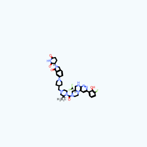 CC1(C)CN(CC2CCN(c3ccc4c(c3)C(=O)N([C@@H]3CCC(=O)NC3=O)C4)CC2)CCN1C(=O)N1CCN2c3cc(-c4cccc(F)c4O)nnc3NC[C@]2(C(F)F)C1